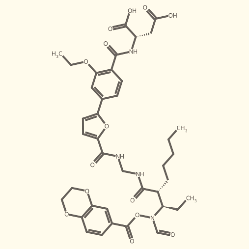 CCCCC[C@@H](C(=O)NCNC(=O)c1ccc(-c2ccc(C(=O)N[C@@H](CC(=O)O)C(=O)O)c(OCC)c2)o1)[C@@H](CC)N(C=O)OC(=O)c1ccc2c(c1)OCCO2